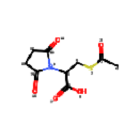 CC(=O)SCC(C(=O)O)N1C(=O)CCC1=O